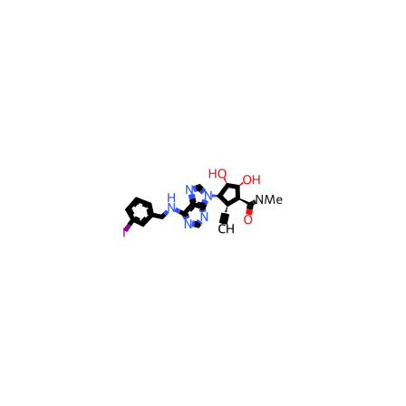 C#C[C@H]1[C@H](C(=O)NC)[C@@H](O)[C@@H](O)[C@@H]1n1cnc2c(NCc3cccc(I)c3)ncnc21